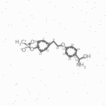 CS(=O)(=O)Oc1ccc(CCOc2ccc(C(N)O)cc2)cc1